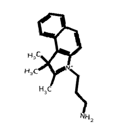 CC1=[N+](CCCN)c2ccc3ccccc3c2C1(C)C